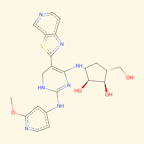 COc1cc(NC2=NC(N[C@@H]3C[C@H](CO)[C@@H](O)[C@H]3O)=C(c3nc4ccncc4s3)CN2)ccn1